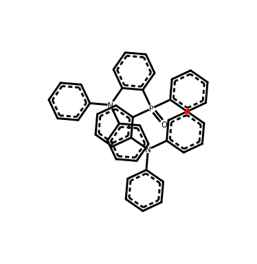 O=P(c1ccccc1)(c1ccccc1N(c1ccccc1)c1ccccc1)c1ccccc1N(c1ccccc1)c1ccccc1